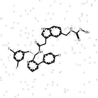 CC(C)(C)OC(=O)NCc1ccc2[nH]cc(CC(=O)N[C@@H](Cc3cc(F)cc(F)c3)c3ncccc3-c3ccc(Cl)cc3)c2c1